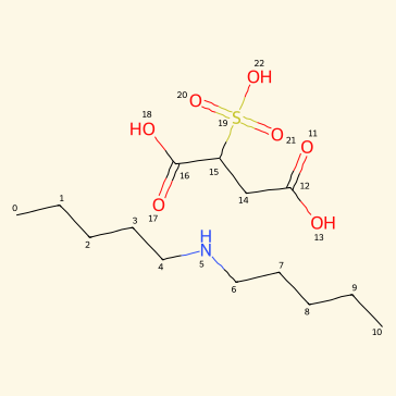 CCCCCNCCCCC.O=C(O)CC(C(=O)O)S(=O)(=O)O